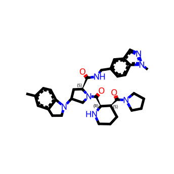 Cc1ccc2c(c1)CCN2C1C[C@@H](C(=O)NCc2ccc3c(cnn3C)c2)N(C(=O)[C@@H]2NCCC[C@@H]2C(=O)N2CCCC2)C1